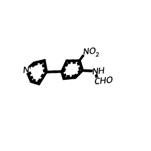 O=CNc1ccc(-c2ccncc2)cc1[N+](=O)[O-]